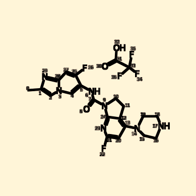 Cc1cn2cc(NC(=O)N3CCc4c(N5CCNCC5)cc(F)nc43)c(F)cc2n1.O=C(O)C(F)(F)F